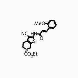 CCOC(=O)N1CCc2c(sc(NC(=O)C=Cc3ccccc3OC)c2C#N)C1